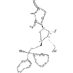 CC(=O)OC[C@H]1[C@@H](F)[C@H](n2ccc(=O)[nH]c2=O)O[C@@H]1CO[Si](c1ccccc1)(c1ccccc1)C(C)(C)C